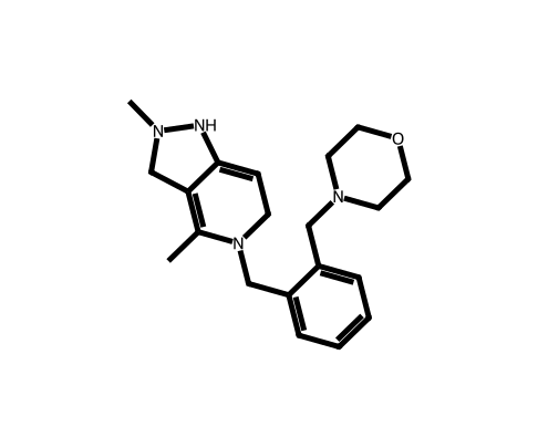 CC1=C2CN(C)NC2=CCN1Cc1ccccc1CN1CCOCC1